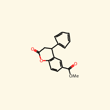 COC(=O)c1ccc2c(c1)C(c1ccccc1)CC(=O)O2